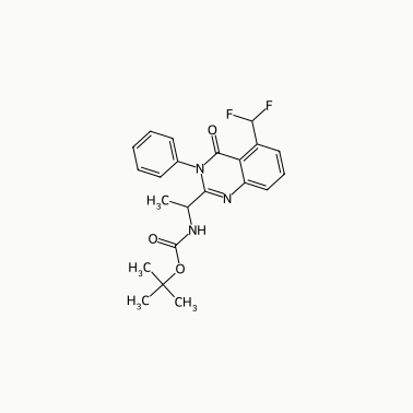 CC(NC(=O)OC(C)(C)C)c1nc2cccc(C(F)F)c2c(=O)n1-c1ccccc1